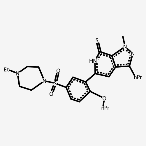 CCCOc1ccc(S(=O)(=O)N2CCN(CC)CC2)cc1-c1cc2c(CCC)nn(C)c2c(=S)[nH]1